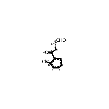 O=[C]OCC(=O)c1ccccc1Cl